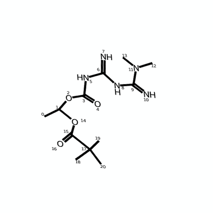 CC(OC(=O)NC(=N)NC(=N)N(C)C)OC(=O)C(C)(C)C